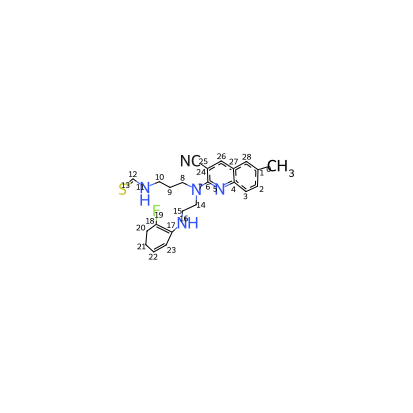 Cc1ccc2nc(N(CCCNC=S)CCNC3=C(F)CCC=C3)c(C#N)cc2c1